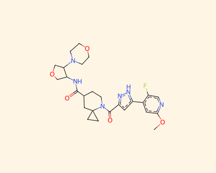 COc1cc(-c2cc(C(=O)N3CCC(C(=O)NC4COCC4N4CCOCC4)CC34CC4)n[nH]2)c(F)cn1